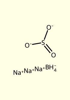 O=S([O-])[O-].[BH4-].[Na+].[Na+].[Na+]